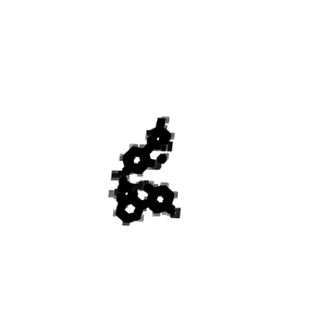 COc1cc(Nc2nc3c(s2)CCCC3c2cc(Cl)ccc2Cl)ccc1-c1nc(C)c[nH]1